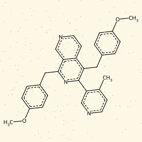 COc1ccc(Cc2nc(-c3cnccc3C)c(Cc3ccc(OC)cc3)c3ccncc23)cc1